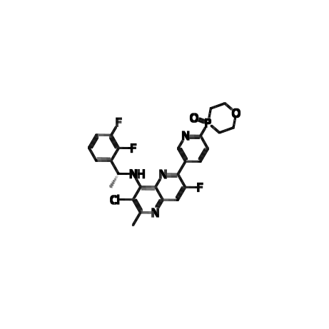 Cc1nc2cc(F)c(-c3ccc(P4(=O)CCOCC4)nc3)nc2c(N[C@H](C)c2cccc(F)c2F)c1Cl